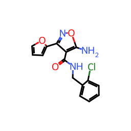 Nc1onc(-c2ccco2)c1C(=O)NCc1ccccc1Cl